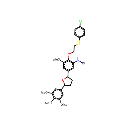 CCNc1cc(C2CCC(c3cc(OC)c(OC)c(OC)c3)O2)cc(OC)c1OCCSc1ccc(Cl)cc1